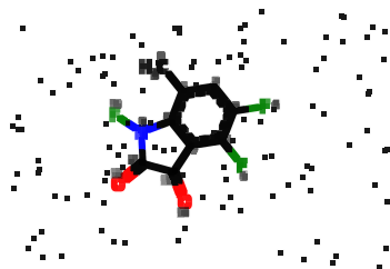 Cc1cc(F)c(F)c2c1N(F)C(=O)C2=O